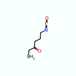 BCC(=O)CCCN=C=O